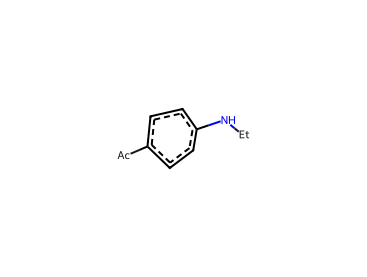 CCNc1ccc(C(C)=O)cc1